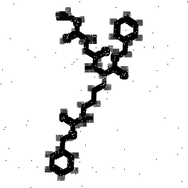 CC(C)(C)OC(=O)NCC(=O)N[C@@H](CCCCNC(=O)OCc1ccccc1)C(=O)OCc1ccccc1